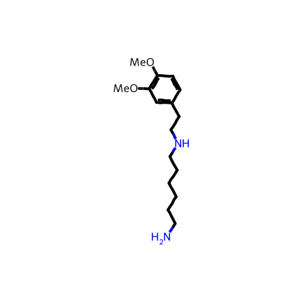 COc1ccc(CCNCCCCCCN)cc1OC